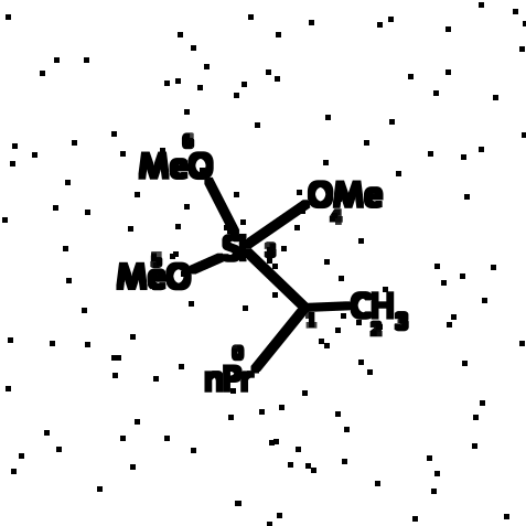 CCCC(C)[Si](OC)(OC)OC